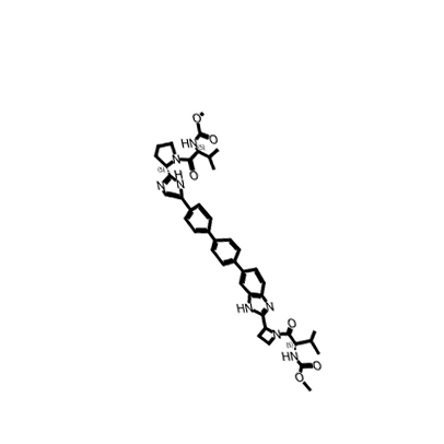 COC(=O)N[C@H](C(=O)N1CCC1c1nc2ccc(-c3ccc(-c4ccc(-c5cnc([C@@H]6CCCN6C(=O)[C@@H](NC(=O)OC)C(C)C)[nH]5)cc4)cc3)cc2[nH]1)C(C)C